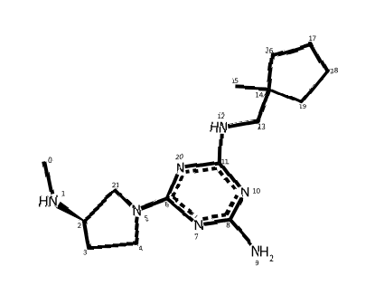 CN[C@@H]1CCN(c2nc(N)nc(NCC3(C)CCCC3)n2)C1